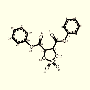 O=C(Oc1ccccc1)C1OS(=O)(=O)OC1C(=O)Oc1ccccc1